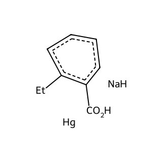 CCc1ccccc1C(=O)O.[Hg].[NaH]